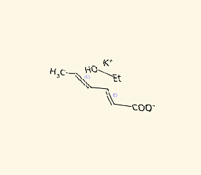 C/C=C/C=C/C(=O)[O-].CCO.[K+]